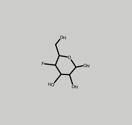 OCC1OC(O)C(O)C(O)C1F